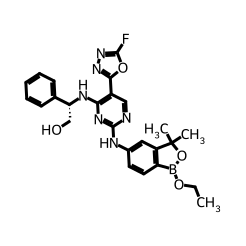 CCOB1OC(C)(C)c2cc(Nc3ncc(-c4nnc(F)o4)c(N[C@H](CO)c4ccccc4)n3)ccc21